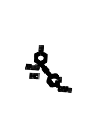 COc1ccc(C#CC2(OC)CCNCC2)cn1.Cl